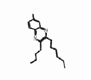 CCCCCCc1nc2cc(C)ccc2nc1CCCC